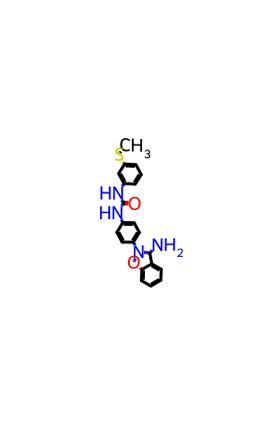 CSc1cccc(NC(=O)Nc2ccc(N3Oc4ccccc4C3N)cc2)c1